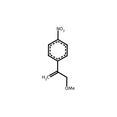 C=C(COC)c1ccc([N+](=O)[O-])cc1